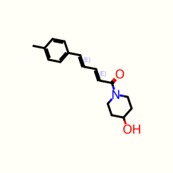 Cc1ccc(/C=C/C=C/C(=O)N2CCC(O)CC2)cc1